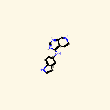 c1cc2c(Nc3ccc4[nH]ccc4c3)ncnc2cn1